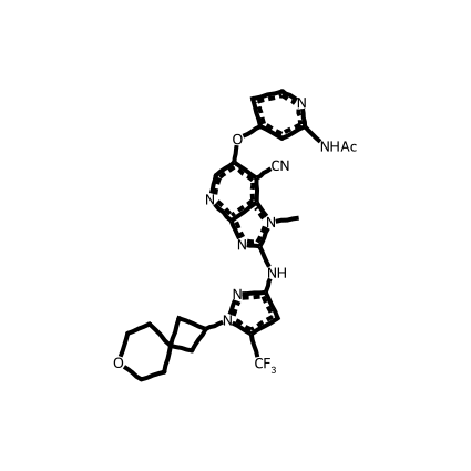 CC(=O)Nc1cc(Oc2cnc3nc(Nc4cc(C(F)(F)F)n(C5CC6(CCOCC6)C5)n4)n(C)c3c2C#N)ccn1